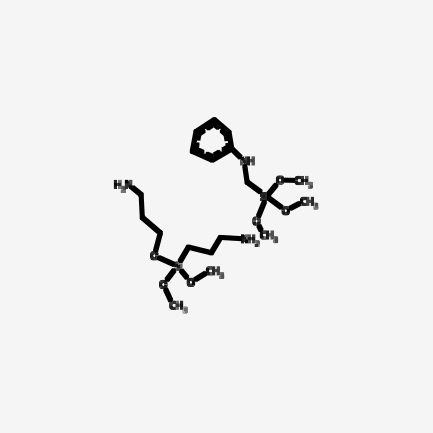 CO[Si](CCCN)(OC)OCCCN.CO[Si](CNc1ccccc1)(OC)OC